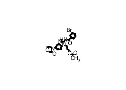 CC(=O)OCCCn1c(NC(=O)c2cccc(Br)c2)nc2cc(N3CCOCC3=O)ccc21